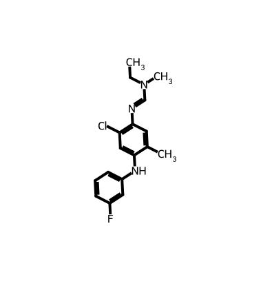 CCN(C)C=Nc1cc(C)c(Nc2cccc(F)c2)cc1Cl